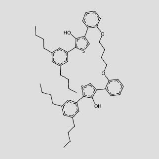 CCCCc1cc(CCCC)cc(-c2scc(-c3ccccc3OCCCCOc3ccccc3-c3csc(-c4cc(CCCC)cc(CCCC)c4)c3O)c2O)c1